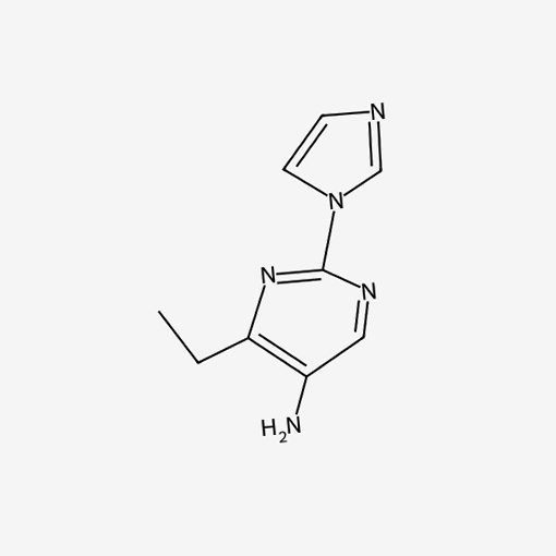 CCc1nc(-n2ccnc2)ncc1N